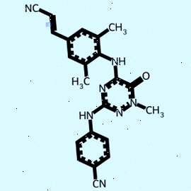 Cc1cc(/C=C/C#N)cc(C)c1Nc1nc(Nc2ccc(C#N)cc2)nn(C)c1=O